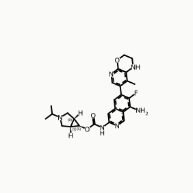 Cc1c(-c2cc3cc(NC(=O)O[C@H]4[C@@H]5CN(C(C)C)C[C@@H]54)ncc3c(N)c2F)cnc2c1NCCO2